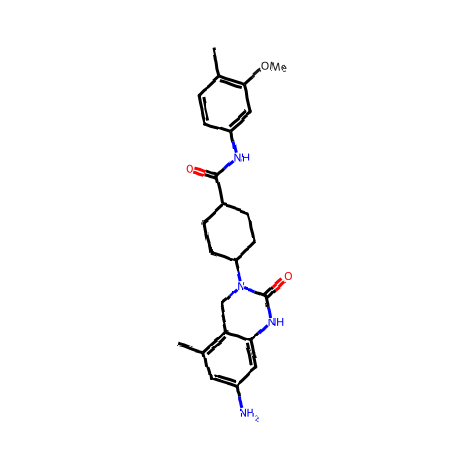 COc1cc(NC(=O)C2CCC(N3Cc4c(C)cc(N)cc4NC3=O)CC2)ccc1C